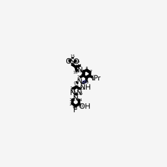 C=N/C(=C\c1c(C(C)C)ccc(N2CC(CS(C)(=O)=O)C2)c1C)Nc1ccnc(N2CC[C@@H](F)[C@@H](O)C2)n1